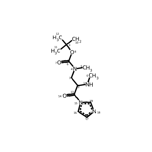 CNC(CN(C)C(=O)OC(C)(C)C)C(=O)n1ccnc1